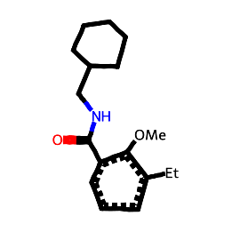 CCc1cccc(C(=O)NCC2CCCCC2)c1OC